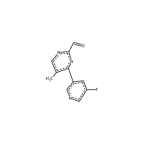 Cc1cnc(C=O)nc1-c1cncc(F)c1